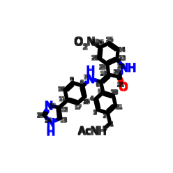 CC(=O)NCc1ccc(C(Nc2ccc(-c3c[nH]cn3)cc2)=C2C(=O)Nc3ccc([N+](=O)[O-])cc32)cc1